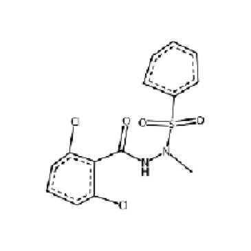 CN(NC(=O)c1c(Cl)cccc1Cl)S(=O)(=O)c1ccccc1